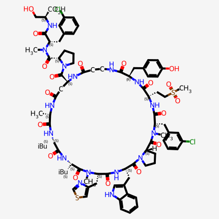 CC[C@H](C)[C@@H]1NC(=O)[C@H](C)NC(=O)C[C@@H](C(=O)N2CCC[C@H]2C(=O)N(C)[C@@H](Cc2cccc(Cl)c2)C(=O)N[C@@H](CO)C(=O)O)NC(=O)CCNC(=O)[C@@H](Cc2ccc(O)cc2)NC(=O)[C@H](CCS(C)(=O)=O)NC(=O)[C@H](Cc2cccc(Cl)c2)N(C)C(=O)[C@@H]2CCCN2C(=O)[C@H](Cc2c[nH]c3ccccc23)NC(=O)[C@H](Cc2cscn2)N(C)C(=O)[C@H]([C@@H](C)CC)NC1=O